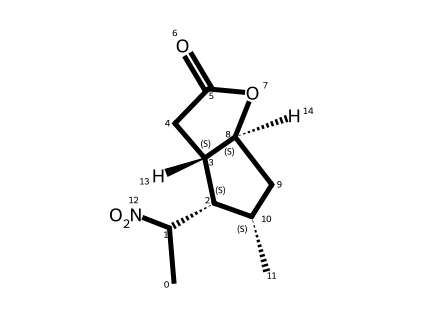 CC([C@@H]1[C@@H]2CC(=O)O[C@H]2C[C@@H]1C)[N+](=O)[O-]